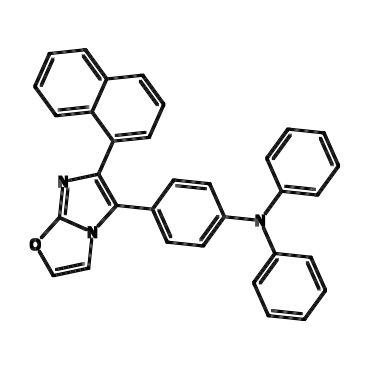 c1ccc(N(c2ccccc2)c2ccc(-c3c(-c4cccc5ccccc45)nc4occn34)cc2)cc1